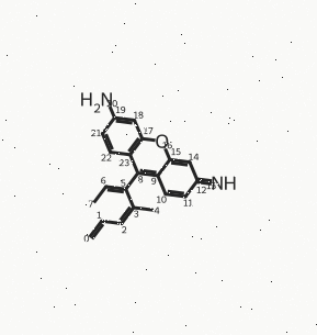 C=C/C=C(C)\C(=C/C)c1c2ccc(=N)cc-2oc2cc(N)ccc12